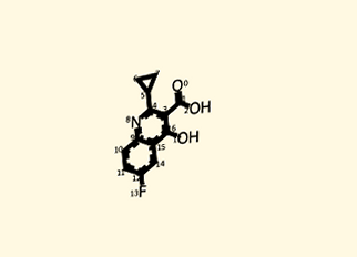 O=C(O)c1c(C2CC2)nc2ccc(F)cc2c1O